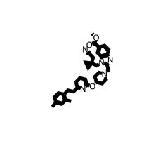 COC(=O)c1ccc2nc(CN3CCC(OC4=CCCC(CCc5ccc(C)cc5C)=N4)CC3)n(CC3(CC#N)CC3)c2c1